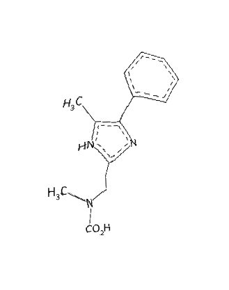 Cc1[nH]c(CN(C)C(=O)O)nc1-c1ccccc1